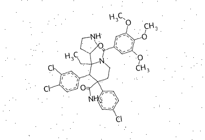 CCC1(C2CCNC2)C(c2ccc(Cl)c(Cl)c2)C(C(N)=O)(c2ccc(Cl)cc2)CCN1C(=O)c1cc(OC)c(OC)c(OC)c1